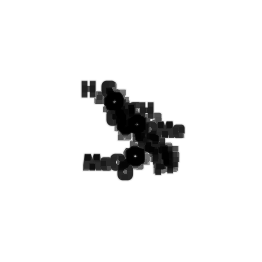 COC(=O)c1ccc([C@@H]2CN(CC(F)(F)C(F)F)CCN2Cc2c(OC)cc(C)c3c2ccn3S(=O)(=O)c2ccc(C)cc2)cc1